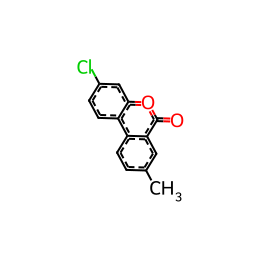 Cc1ccc2c(c1)c(=O)oc1cc(Cl)ccc12